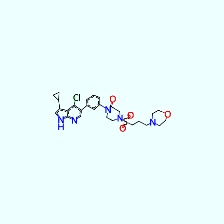 O=C1CN(S(=O)(=O)CCCN2CCOCC2)CCN1c1cccc(-c2cnc3[nH]cc(C4CC4)c3c2Cl)c1